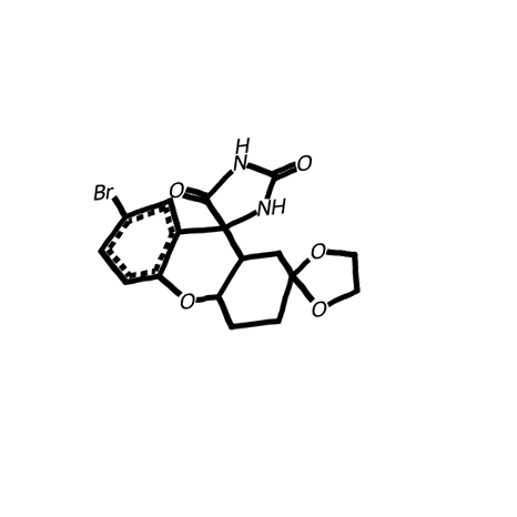 O=C1NC(=O)C2(N1)c1cc(Br)ccc1OC1CCC3(CC12)OCCO3